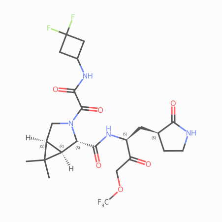 CC1(C)[C@@H]2[C@@H](C(=O)N[C@@H](C[C@@H]3CCNC3=O)C(=O)COC(F)(F)F)N(C(=O)C(=O)NC3CC(F)(F)C3)C[C@@H]21